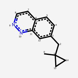 CC1(Cc2ccc3ccnnc3c2)CC1